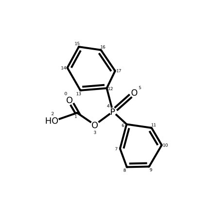 O=C(O)OP(=O)(c1ccccc1)c1ccccc1